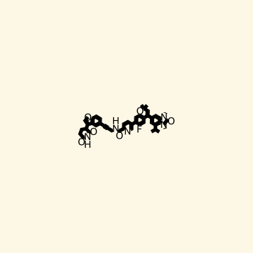 CC(C)c1cc(C2=CC(C)(C)Oc3cc(-c4ccc(C(=O)NCC#Cc5ccc6occ(C7CCC(=O)NC7=O)c6c5)nc4)c(F)cc32)cc2c1n(C)c(=O)n2C